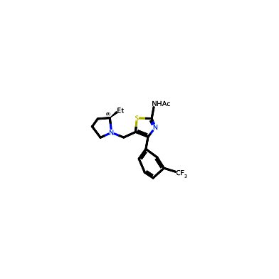 CC[C@@H]1CCCN1Cc1sc(NC(C)=O)nc1-c1cccc(C(F)(F)F)c1